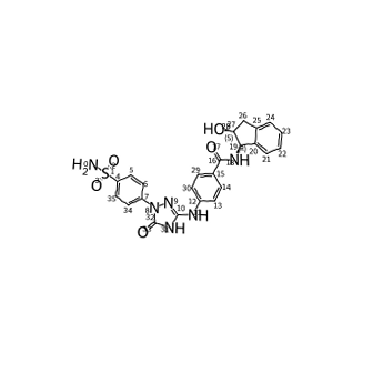 NS(=O)(=O)c1ccc(-n2nc(Nc3ccc(C(=O)N[C@@H]4c5ccccc5C[C@@H]4O)cc3)[nH]c2=O)cc1